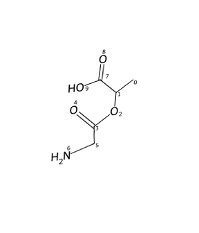 CC(OC(=O)CN)C(=O)O